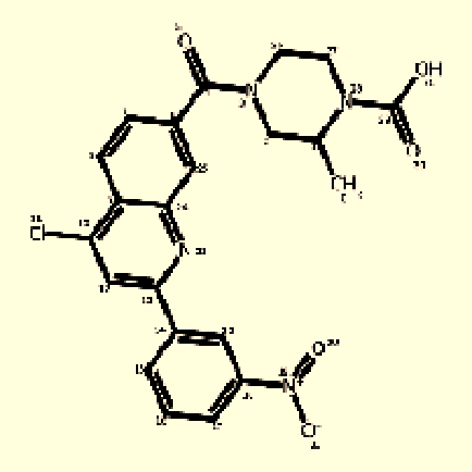 CC1CN(C(=O)c2ccc3c(Cl)cc(-c4cccc([N+](=O)[O-])c4)nc3c2)CCN1C(=O)O